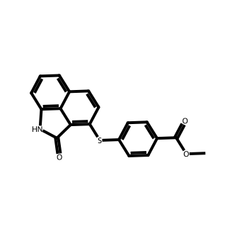 COC(=O)c1ccc(Sc2ccc3cccc4c3c2C(=O)N4)cc1